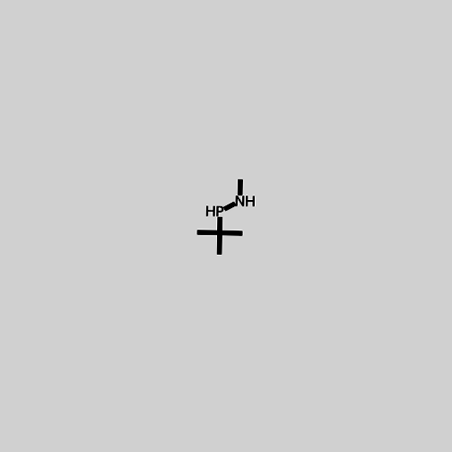 CNPC(C)(C)C